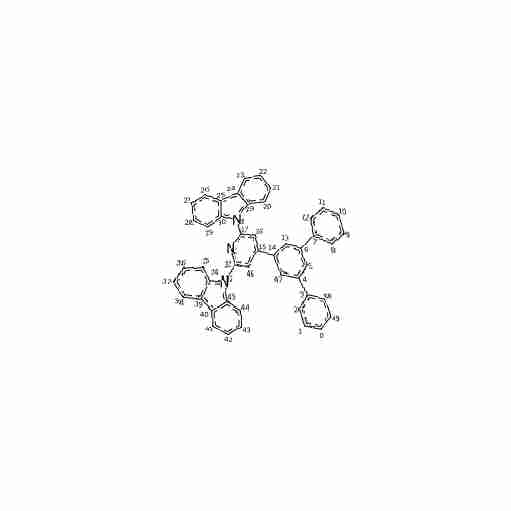 c1ccc(-c2cc(-c3ccccc3)cc(-c3cc(-n4c5ccccc5c5ccccc54)nc(-n4c5ccccc5c5ccccc54)c3)c2)cc1